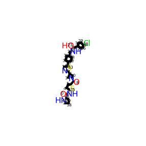 O=C(Nc1ccc(C(=O)N2CC(c3ncc(-c4ccc(CNC(O)c5ccc(Cl)cc5)cc4)s3)C2)s1)[C@@H]1CCCN1